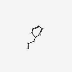 C=CCC1[N]C=CC=N1